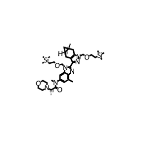 Cc1cc(N(C)C(=O)[C@H](C)N2CCOCC2)cc2c1nc(-c1nn(COCC[Si](C)(C)C)c3c1C[C@@H]1C[C@]1(C)C3)n2COCC[Si](C)(C)C